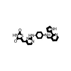 O=C1NC(=O)C(=Cc2ccnc(N[C@H]3CC[C@H](NCc4cccnc4-c4ccc[nH]4)CC3)n2)S1